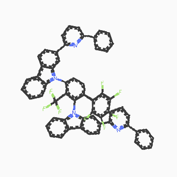 Fc1c(F)c(F)c(-c2ccc(-n3c4ccccc4c4ccc(-c5cccc(-c6ccccc6)n5)cc43)c(C(F)(F)F)c2-n2c3ccccc3c3ccc(-c4cccc(-c5ccccc5)n4)cc32)c(F)c1F